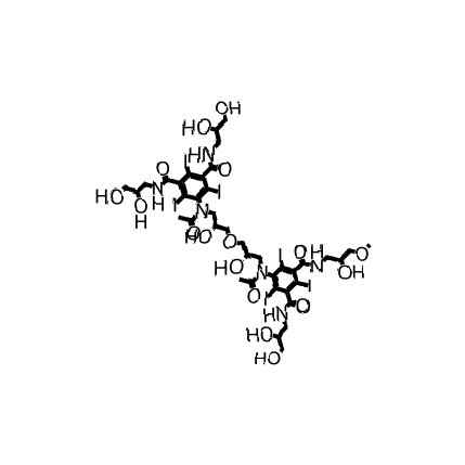 COCC(O)CNC(=O)c1c(I)c(C(=O)NCC(O)CO)c(I)c(N(CC(O)COCC(O)CN(C(C)=O)c2c(I)c(C(=O)NCC(O)CO)c(I)c(C(=O)NCC(O)CO)c2I)C(C)=O)c1I